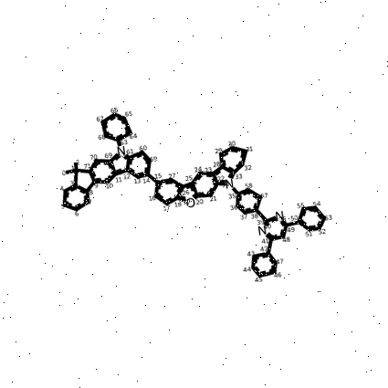 CC1(C)c2ccccc2-c2cc3c4cc(-c5ccc6oc7cc8c(cc7c6c5)c5ccccc5n8-c5ccc(-c6nc(-c7ccccc7)cc(-c7ccccc7)n6)cc5)ccc4n(-c4ccccc4)c3cc21